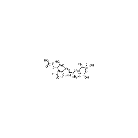 CC(=O)N(C(=O)[C@H](C)NC(=O)C(C)O[C@@H]1[C@@H](N)[C@@H](O)O[C@H](CO)[C@H]1O)[C@H](CCC(=O)O)C(=O)O